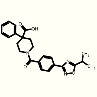 CC(C)c1nc(-c2ccc(C(=O)N3CCC(C(=O)O)(c4ccccc4)CC3)cc2)no1